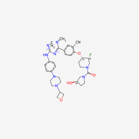 C=N/C(=N\C(=N/C)Nc1ccc(N2CCN(C3COC3)CC2)cc1)c1ccc(O[C@H]2CCN(C(=O)N3CC[C@@H](O)C3)C[C@H]2F)c(C#N)c1